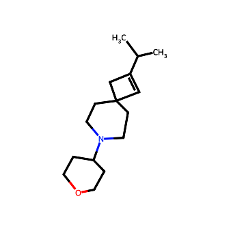 CC(C)C1=CC2(CCN(C3CCOCC3)CC2)C1